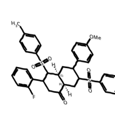 COc1ccc(C2C[C@@H]3C(S(=O)(=O)c4ccc(C)cc4)C(c4ccccc4F)CC(=O)[C@@H]3CC2S(=O)(=O)c2ccccc2)cc1